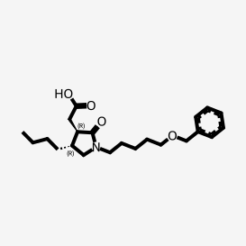 CCCC[C@H]1CN(CCCCCOCc2ccccc2)C(=O)[C@@H]1CC(=O)O